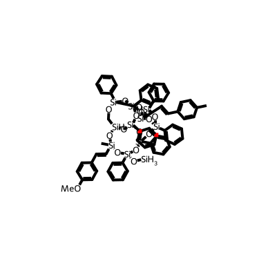 COc1ccc(/C=C/[Si]2(C)O[SiH]3CO[Si]4(c5ccccc5)O[SiH](c5ccccc5)O[Si]5(c6ccccc6)O[Si](C)(/C=C/c6ccc(C)cc6)O[Si](c6ccccc6)(O4)O[Si](c4ccccc4)(O3)O[Si](c3ccccc3)(O[Si](O[SiH3])(c3ccccc3)O2)O5)cc1